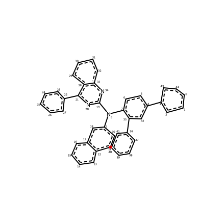 c1ccc(-c2ccc(N(c3ccc4ccccc4c3)c3nc(-c4ccccc4)c4ccccc4n3)c(-c3ccccc3)c2)cc1